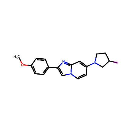 COc1ccc(-c2cn3ccc(N4CC[C@@H](I)C4)cc3n2)cc1